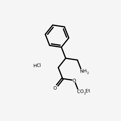 CCOC(=O)OC(=O)CC(CN)c1ccccc1.Cl